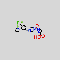 O=C(O)c1ccn(C(=O)N2CCN(Cc3ccc(C(F)(F)F)c(N4CCCC4)c3)CC2)n1